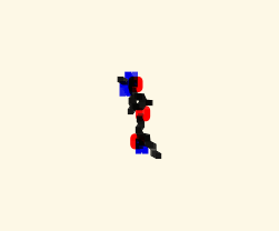 CCCc1cc(CCCOc2c(C)cc(-c3nc(C)no3)cc2C)on1